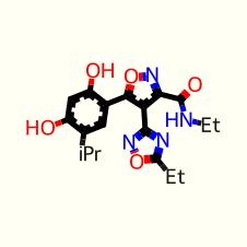 CCNC(=O)c1noc(-c2cc(C(C)C)c(O)cc2O)c1-c1noc(CC)n1